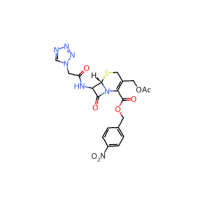 CC(=O)OCC1=C(C(=O)OCc2ccc([N+](=O)[O-])cc2)N2C(=O)C(NC(=O)Cn3cnnn3)[C@@H]2SC1